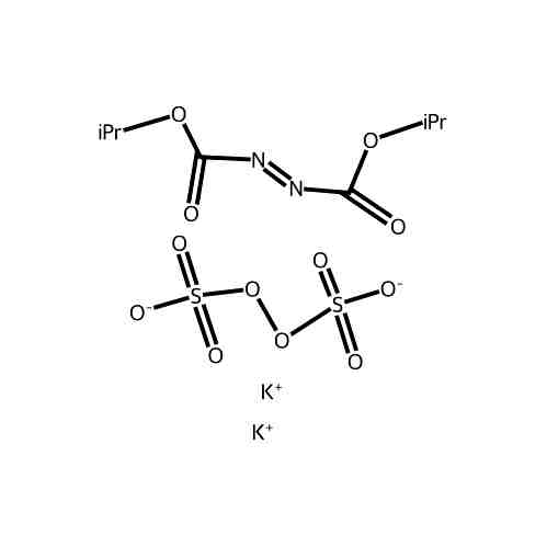 CC(C)OC(=O)N=NC(=O)OC(C)C.O=S(=O)([O-])OOS(=O)(=O)[O-].[K+].[K+]